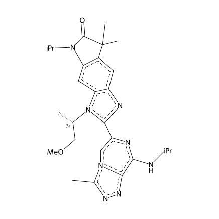 COC[C@H](C)n1c(-c2cn3c(C)nnc3c(NC(C)C)n2)nc2cc3c(cc21)N(C(C)C)C(=O)C3(C)C